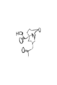 CC(=O)C=C1CN2C(=O)CC[C@@]2(C(=O)O)C1